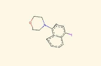 Ic1ccc(N2CCOCC2)c2ccccc12